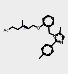 CC(=O)CC/C(C)=C/COc1ccccc1Cn1c(C)cnc1-c1ccc(C)cc1